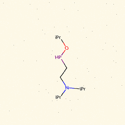 CC(C)OPCCN(C(C)C)C(C)C